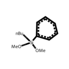 CCCC[Si](OC)(OC)c1ccccc1